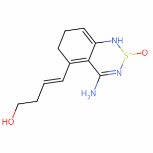 NC1=N[S+]([O-])NC2=CCCC(/C=C/CCO)=C21